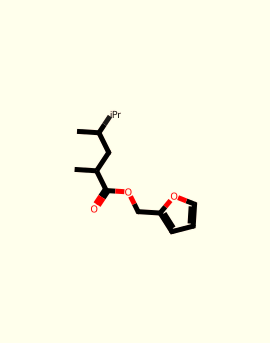 CC(CC(C)C(C)C)C(=O)OCc1ccco1